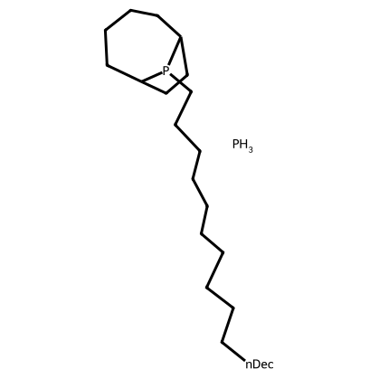 CCCCCCCCCCCCCCCCCCCCP1C2CCCCC1CC2.P